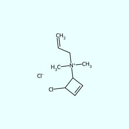 C=CC[N+](C)(C)C1C=CC1Cl.[Cl-]